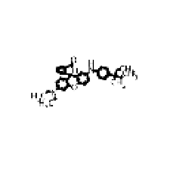 CCN(CC)c1ccc2c(c1)Oc1ccc(Nc3ccc(C(C)(CC)CC)cc3)cc1C21OC(=O)c2ccccc21